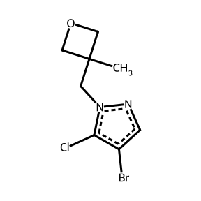 CC1(Cn2ncc(Br)c2Cl)COC1